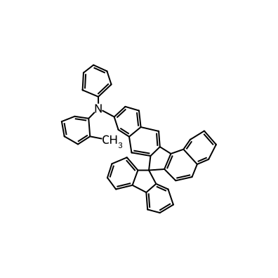 Cc1ccccc1N(c1ccccc1)c1ccc2cc3c(cc2c1)C1(c2ccccc2-c2ccccc21)c1ccc2ccccc2c1-3